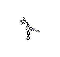 CO/N=C1/C[C@@H](c2noc(CN3CC(=O)NC(=O)C3)n2)N(C(=O)c2ccc(-c3ccccc3)cc2)C1